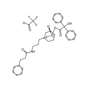 O=C(CCc1ccccc1)NCCC[N+]12CCC(CC1)[C@@H](OC(=O)C(O)(c1ccccc1)c1ccccc1)C2.O=C([O-])C(F)(F)F